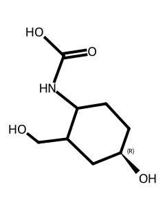 O=C(O)NC1CC[C@@H](O)CC1CO